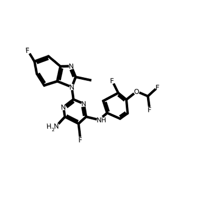 Cc1nc2cc(F)ccc2n1-c1nc(N)c(F)c(Nc2ccc(OC(F)F)c(F)c2)n1